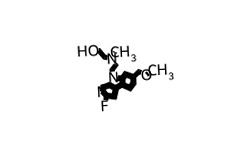 COCc1ccc2c3cc(F)ncc3n(CCN(C)CCO)c2c1